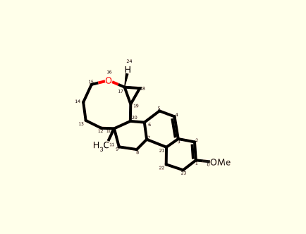 COC1=CC2=CCC3C(CCC4(C)CCCCO[C@@H]5CC5C34)C2CC1